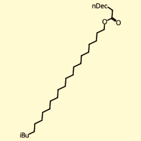 CCCCCCCCCCCC(=O)OCCCCCCCCCCCCCCCCCCCC(C)CC